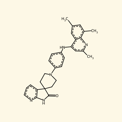 Cc1cc(C)c2nc(C)cc(Nc3ccc(N4CCC5(CC4)C(=O)Nc4ncccc45)cc3)c2c1